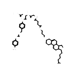 CC(C)CCC[C@@H](C)[C@H]1CCC2[C@@H]3CC=C4C[C@@H](OCCCNC(=O)CCC(=O)N[C@@H](C)C(=O)N[C@@H](CC(N)=O)C(=O)Nc5ccc(COC(=O)Oc6ccc([N+](=O)O)cc6)cc5)CC[C@]4(C)C3CC[C@@]21C